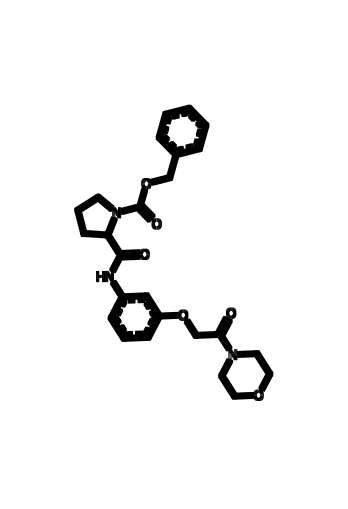 O=C(Nc1cccc(OCC(=O)N2CCOCC2)c1)C1CCCN1C(=O)OCc1ccccc1